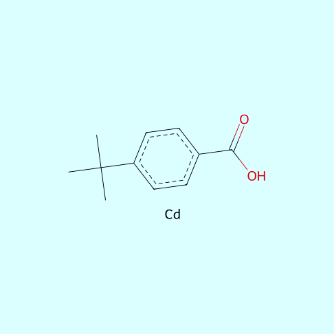 CC(C)(C)c1ccc(C(=O)O)cc1.[Cd]